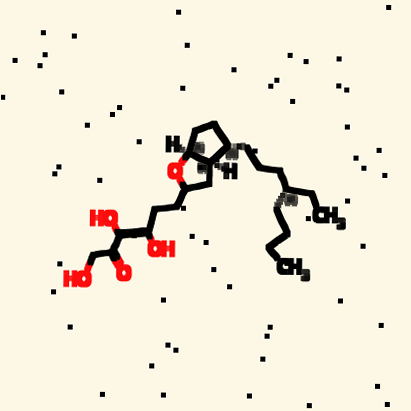 CCCC[C@@H](CC)CCC[C@H]1CC[C@@H]2OC(CCC(O)=C(O)C(=O)CO)C[C@H]12